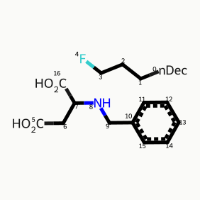 CCCCCCCCCCCCCF.O=C(O)CC(NCc1ccccc1)C(=O)O